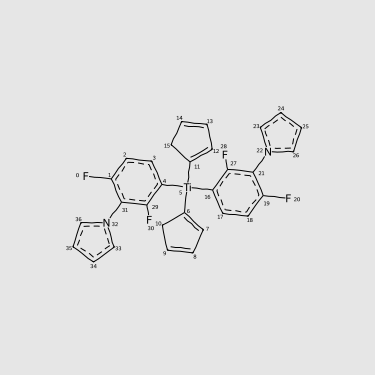 Fc1cc[c]([Ti]([C]2=CC=CC2)([C]2=CC=CC2)[c]2ccc(F)c(-n3cccc3)c2F)c(F)c1-n1cccc1